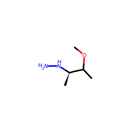 COC(C)[C@@H](C)NN